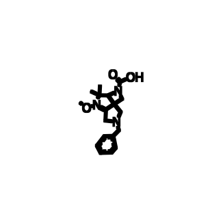 CON=C1CN(Cc2ccccc2)CC12CN(C(=O)O)C2C(C)(C)C